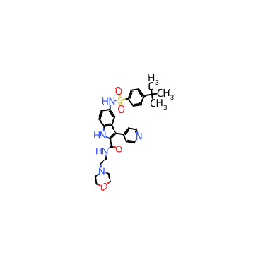 CC(C)(C)c1ccc(S(=O)(=O)Nc2ccc3[nH]c(C(=O)NCCN4CCOCC4)c(-c4ccncc4)c3c2)cc1